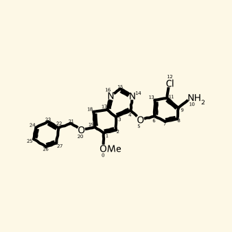 COc1cc2c(Oc3ccc(N)c(Cl)c3)ncnc2cc1OCc1ccccc1